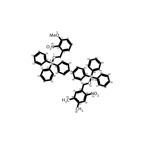 COc1cccc(CO[Si](c2ccccc2)(c2ccccc2)c2ccccc2)c1[N+](=O)[O-].Cc1cc(CO[Si](c2ccccc2)(c2ccccc2)c2ccccc2)c([N+](=O)[O-])cc1C